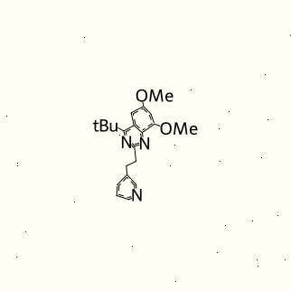 COc1cc(OC)c2nc(CCc3cccnc3)nc(C(C)(C)C)c2c1